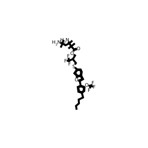 CCCCCc1ccc(-c2cc3ccc(SCC(COC(=O)C(C)(C)C(C)(N)CC(C)(C)N)C(F)(F)F)cc3o2)c(OC(F)(F)F)c1